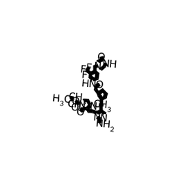 Cn1c(-c2nc(N)ncc2C#Cc2cccc(CC(=O)Nc3ccc(CN4CCNC(=O)C4)c(C(F)(F)F)c3)c2)cc2c1CCN(C(=O)OC(C)(C)C)C2=O